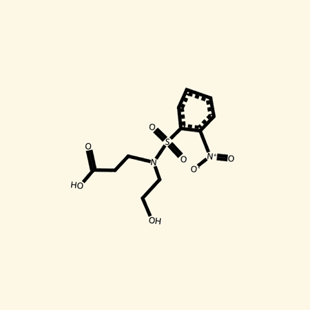 O=C(O)CCN(CCO)S(=O)(=O)c1ccccc1[N+](=O)[O-]